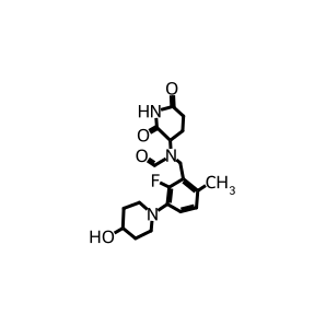 Cc1ccc(N2CCC(O)CC2)c(F)c1CN(C=O)C1CCC(=O)NC1=O